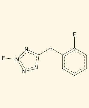 Fc1ccccc1Cc1cnn(F)n1